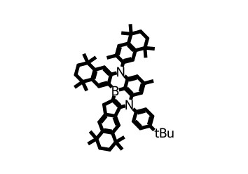 Cc1cc2c3c(c1)N(c1cc4c(cc1C)C(C)(C)CCC4(C)C)c1cc4c(cc1B3C1=C(c3cc5c(cc3C1)C(C)(C)CCC5(C)C)N2c1ccc(C(C)(C)C)cc1)C(C)(C)CCC4(C)C